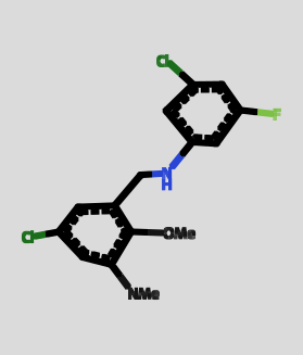 CNc1cc(Cl)cc(CNc2cc(F)cc(Cl)c2)c1OC